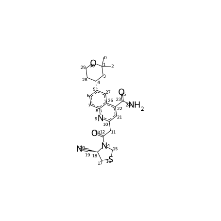 CC1(C)C[C@H](c2ccc3nc(CC(=O)N4CSC[C@H]4C#N)cc(C(N)=O)c3c2)CCO1